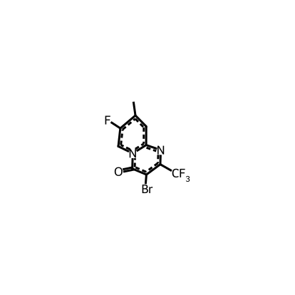 Cc1cc2nc(C(F)(F)F)c(Br)c(=O)n2cc1F